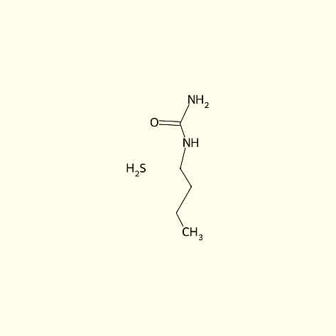 CCCCNC(N)=O.S